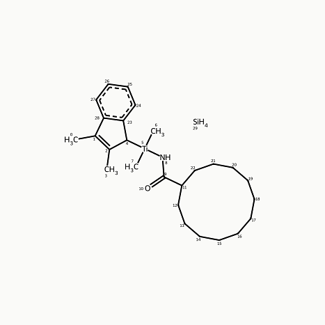 CC1=C(C)[CH]([Ti]([CH3])([CH3])[NH]C(=O)C2CCCCCCCCCCC2)c2ccccc21.[SiH4]